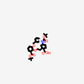 CC(C)(C)OC(=O)Nc1ccc(C(=O)O)c(CCOc2c(OCc3ccccc3)cccc2C(=O)OC(C)(C)C)c1